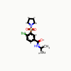 CC(NC(=O)c1ccc(Br)c(S(=O)(=O)N2CCCC2)c1)C(C)(C)C